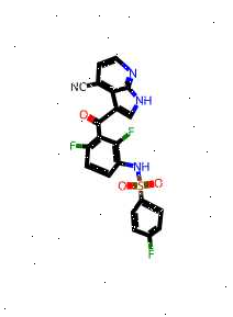 N#Cc1ccnc2[nH]cc(C(=O)c3c(F)ccc(NS(=O)(=O)c4ccc(F)cc4)c3F)c12